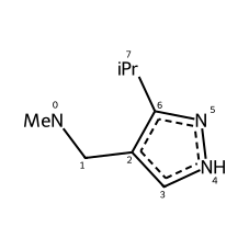 CNCc1c[nH]nc1C(C)C